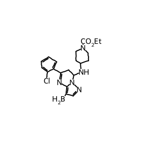 Bc1cnn2c1N=C(c1ccccc1Cl)CC2NC1CCN(C(=O)OCC)CC1